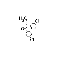 C=CCC(C(=O)c1ccc(Cl)cc1)c1cccc(Cl)c1